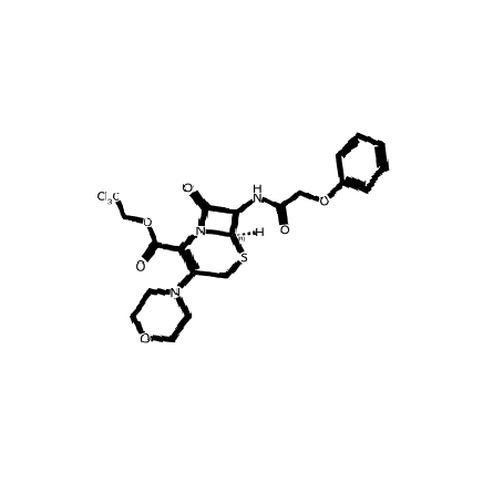 O=C(COc1ccccc1)NC1C(=O)N2C(C(=O)OCC(Cl)(Cl)Cl)=C(N3CCOCC3)CS[C@H]12